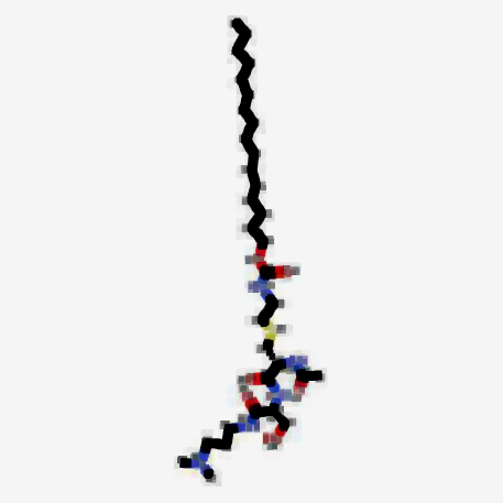 CCCCCCCCCCCCCCCCOC(=O)NCCSC[C@H](NC(C)=O)C(=O)N[C@@H](CO)C(=O)NCCCN(C)C